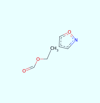 CCOC=O.c1cnoc1